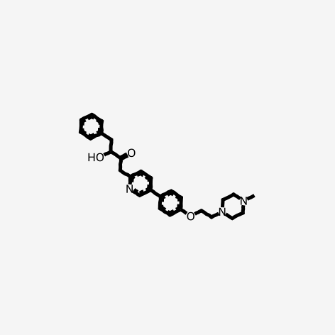 CN1CCN(CCOc2ccc(-c3ccc(CC(=O)C(O)Cc4ccccc4)nc3)cc2)CC1